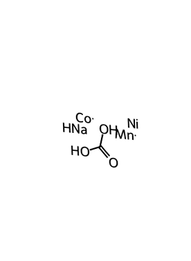 O=C(O)O.[Co].[Mn].[NaH].[Ni]